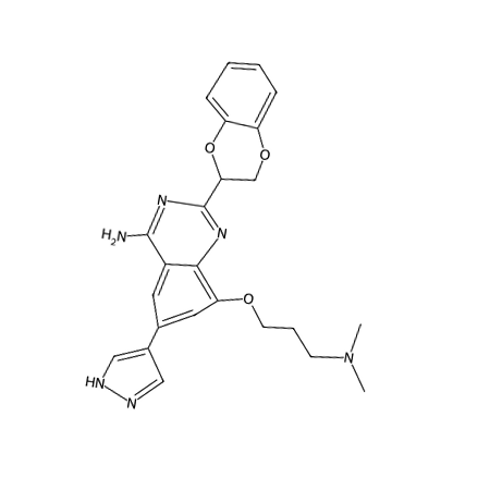 CN(C)CCCOc1cc(-c2cn[nH]c2)cc2c(N)nc(C3COc4ccccc4O3)nc12